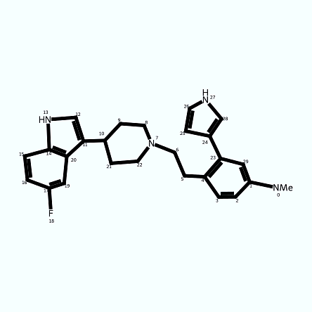 CNc1ccc(CCN2CCC(c3c[nH]c4ccc(F)cc34)CC2)c(-c2cc[nH]c2)c1